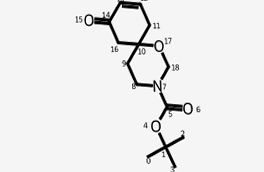 CC(C)(C)OC(=O)N1CCC2(CC=CC(=O)C2)OC1